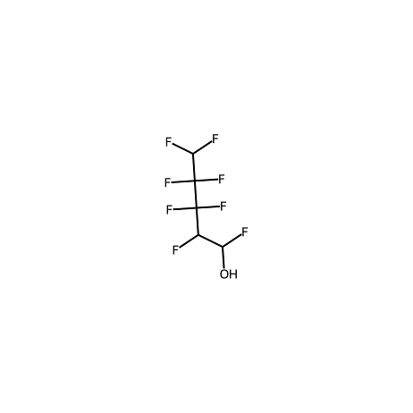 OC(F)C(F)C(F)(F)C(F)(F)C(F)F